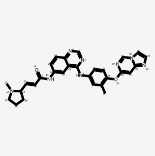 Cc1cc(Nc2ncnc3ccc(NC(=O)C=CC4CCCN4C)cc23)ccc1Oc1cc2nccn2cn1